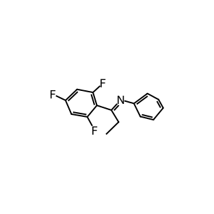 CCC(=Nc1ccccc1)c1c(F)cc(F)cc1F